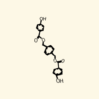 O=C(OCc1ccc(COC(=O)c2ccc(O)cc2)cc1)c1ccc(O)cc1